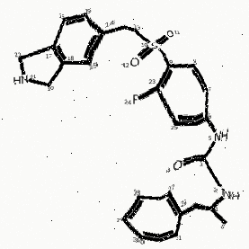 CC(NC(=O)Nc1ccc(S(=O)(=O)Cc2ccc3c(c2)CNC3)c(F)c1)c1ccccc1